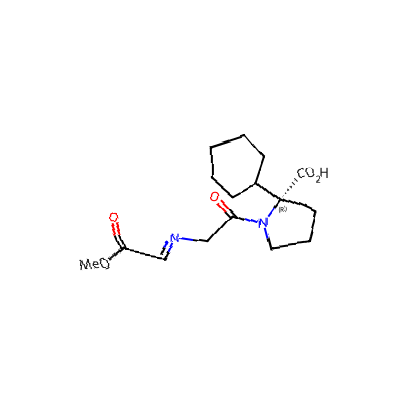 COC(=O)C=NCC(=O)N1CCC[C@]1(C(=O)O)C1CCCCC1